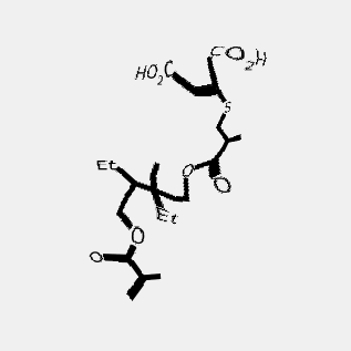 C=C(C)C(=O)OCC(CC)C(C)(CC)COC(=O)C(C)CSC(CC(=O)O)C(=O)O